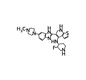 CN1CCN(c2ccc3nc(C4=C(NC5CCNC[C@H]5F)c5ccsc5NC4)[nH]c3c2)CC1